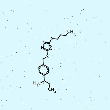 CCCCSc1nnc(SCc2ccc(C(C)CC)cc2)s1